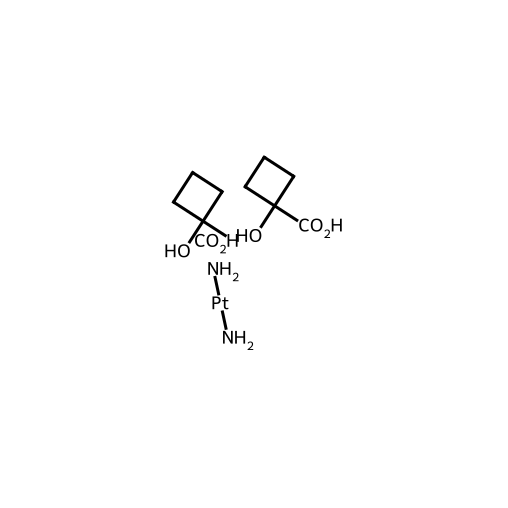 O=C(O)C1(O)CCC1.O=C(O)C1(O)CCC1.[NH2][Pt][NH2]